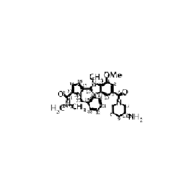 COc1cc(C(=O)N2CCC[C@@H](N)C2)cc2nc(-c3ccc(C(=O)N(C)C)n3Cc3ccccc3)n(C)c12